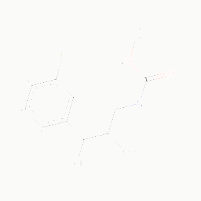 CC(c1cccc(F)c1)C(CNC(=O)OC(C)(C)C)C(=O)O